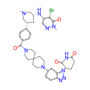 CN1C[C@H](Nc2cnn(C)c(=O)c2Br)C[C@H](c2ccc(C(=O)N3CCC4(CC3)CCN(c3ccc5nnn(C6CCC(=O)NC6=O)c5c3)CC4)cc2)C1